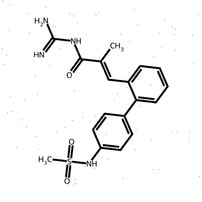 C/C(=C\c1ccccc1-c1ccc(NS(C)(=O)=O)cc1)C(=O)NC(=N)N